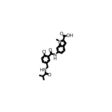 CC(C)C(=O)NCc1ccc(Cl)c(C(=O)Nc2ccc3cc(C(=O)O)n(C)c3c2)c1